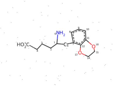 NC(CCCC(=O)O)Cc1cccc2c1OCCO2